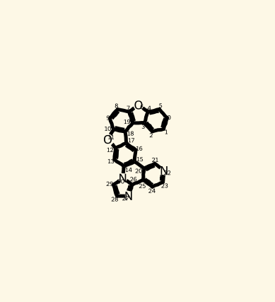 c1ccc2c(c1)oc1ccc3oc4cc5c(cc4c3c12)c1cnccc1c1nccn51